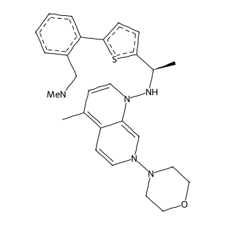 CNCc1ccccc1-c1ccc([C@@H](C)NN2C=CC(C)=C3C=CN(N4CCOCC4)C=C32)s1